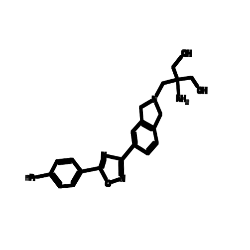 CCCc1ccc(-c2nc(-c3ccc4c(c3)CN(CC(N)(CO)CO)C4)no2)cc1